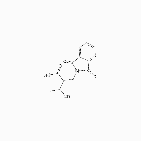 CC(O)C(CN1C(=O)c2ccccc2C1=O)C(=O)O